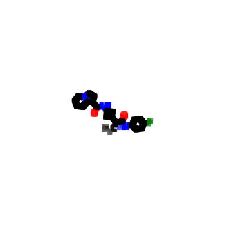 CC(C(=O)Nc1ccc(F)cc1)C12CC(NC(=O)c3ccn4ccccc34)(C1)C2